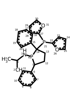 CC(C)NP1C(c2ccccc2)CCC1(c1ccccc1)P(c1ccco1)c1ccco1